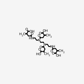 C=C(CC(=O)NCCN(CCN(CCNC(=O)CC(=C)C(=O)O)C(=O)CC(=C)C(=O)O)C(=O)CC(=C)C(=O)O)C(=O)O